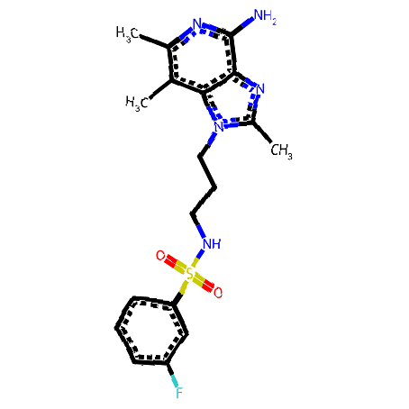 Cc1nc(N)c2nc(C)n(CCCNS(=O)(=O)c3cccc(F)c3)c2c1C